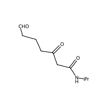 CC(C)NC(=O)CC(=O)CCCC=O